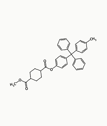 COC(=O)C1CCC(C(=O)Oc2ccc(C(c3ccccc3)(c3ccccc3)c3ccc(C)cc3)cc2)CC1